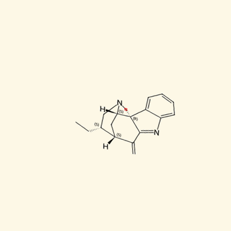 C=C1C2=Nc3ccccc3[C@@]23CCN2C[C@@H](CC)[C@@H]1C[C@H]23